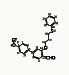 O=Cc1ccc(-c2ccc(OC(F)(F)F)cc2)cc1OCCCSc1ccccc1